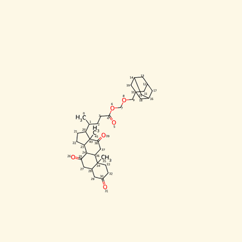 CC(CCC(=O)OCOCC12CC3CC(CC(C3)C1)C2)C1CCC2C3C(=O)CC4CC(=O)CCC4(C)C3CC(=O)C12C